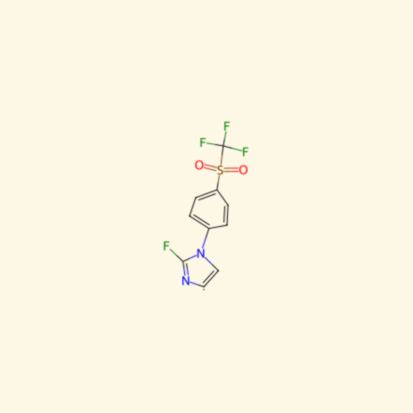 O=S(=O)(c1ccc(-n2c[c]nc2F)cc1)C(F)(F)F